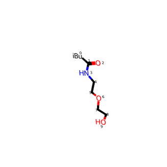 CCC(C)C(=O)NCCOCCO